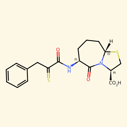 O=C(N[C@H]1CCC[C@@H]2SC[C@@H](C(=O)O)N2C1=O)C(=S)Cc1ccccc1